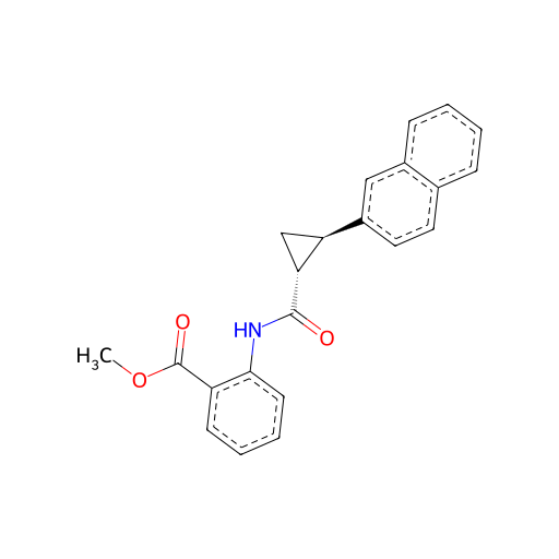 COC(=O)c1ccccc1NC(=O)[C@@H]1C[C@H]1c1ccc2ccccc2c1